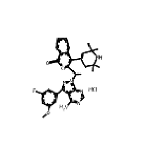 COc1cc(F)cc(-c2nn(C(C)c3oc(=O)c4ccccc4c3C3=CC(C)(C)NC(C)(C)C3)c3ncnc(N)c23)c1.Cl